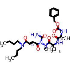 CCCCN(CCCC)C(=O)/C=C/C(=O)N(C(N)=O)N(C)C(=O)[C@H](C)NC(=O)[C@H](C)NC(=O)OCc1ccccc1